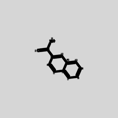 [NH]C(=O)c1ccc2ccccc2c1